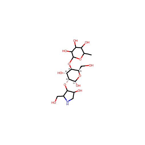 CC1OC(O[C@@H]2[C@@H](O)[C@@H](OC3C(O)CNC3CO)[C@@H](O)O[C@@H]2CO)C(O)C(O)C1O